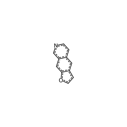 c1cc2cc3ccoc3cc2cn1